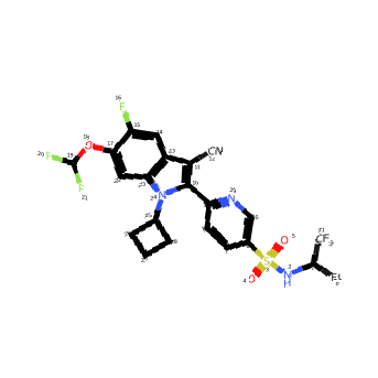 CCC(NS(=O)(=O)c1ccc(-c2c(C#N)c3cc(F)c(OC(F)F)cc3n2C2CCC2)nc1)C(F)(F)F